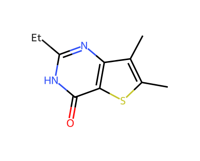 CCc1nc2c(C)c(C)sc2c(=O)[nH]1